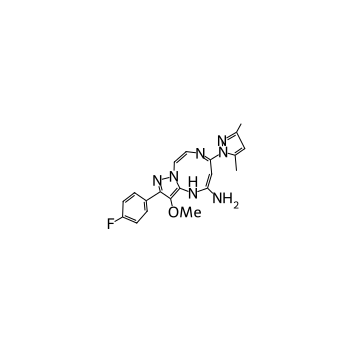 COc1c(-c2ccc(F)cc2)nn2ccnc(-n3nc(C)cc3C)cc(N)[nH]c12